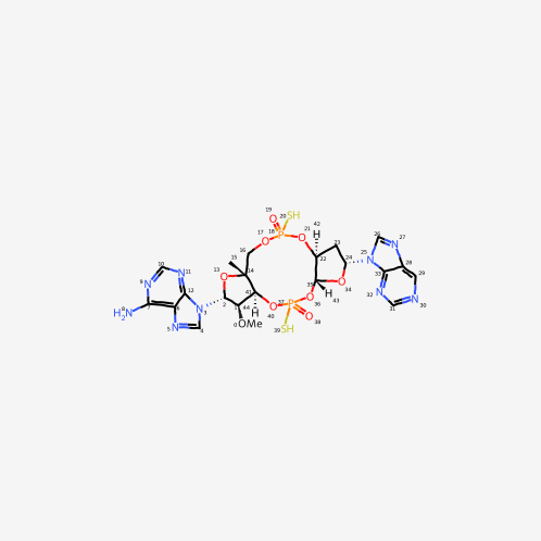 CO[C@H]1[C@H](n2cnc3c(N)ncnc32)O[C@]2(C)COP(=O)(S)O[C@H]3C[C@H](n4cnc5cncnc54)O[C@@H]3OP(=O)(S)O[C@@H]12